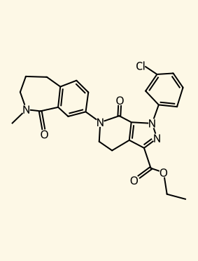 CCOC(=O)c1nn(-c2cccc(Cl)c2)c2c1CCN(c1ccc3c(c1)C(=O)N(C)CCC3)C2=O